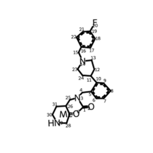 COC(=O)N(Cc1ccccc1C1CCN(Cc2ccc(F)cc2)CC1)CC1CCNCC1